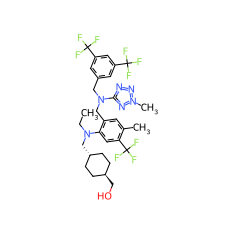 CCN(C[C@H]1CC[C@H](CO)CC1)c1cc(C(F)(F)F)c(C)cc1CN(Cc1cc(C(F)(F)F)cc(C(F)(F)F)c1)c1nnn(C)n1